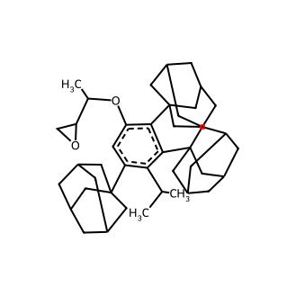 CC(C)c1c(C23CC4CC(CC(C4)C2)C3)cc(OC(C)C2CO2)c(C23CC4CC(CC(C4)C2)C3)c1C12CC3CC(CC(C3)C1)C2